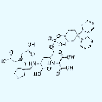 O=C(O)CN(CC(=O)O)CC1(CNC(CC(COP(=O)(O)OC2CCC(c3ccccc3)(c3ccccc3)CC2)NC(C(=O)O)C(=O)O)C(=O)O)CCCC1